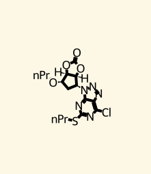 CCCO[C@H]1C[C@@H](n2nnc3c(Cl)nc(SCCC)nc32)[C@@H]2OC(=O)O[C@@H]21